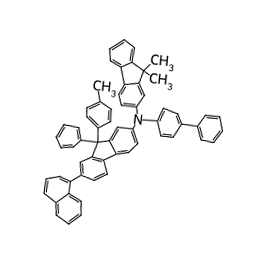 Cc1ccc(C2(c3ccccc3)c3cc(-c4cccc5ccccc45)ccc3-c3ccc(N(c4ccc(-c5ccccc5)cc4)c4ccc5c(c4)C(C)(C)c4ccccc4-5)cc32)cc1